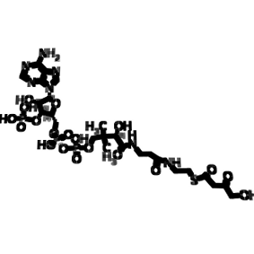 CC(C)(COP(=O)(O)OP(=O)(O)OC[C@H]1O[C@@H](n2cnc3c(N)ncnc32)[C@H](O)[C@@H]1OP(=O)(O)O)[C@@H](O)C(=O)NCCC(=O)NCCSC(=O)CC(=O)CO